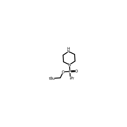 CC(C)P(=O)(OCC(C)(C)C)N1CCNCC1